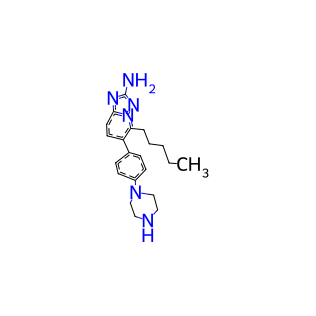 CCCCCc1c(-c2ccc(N3CCNCC3)cc2)ccc2nc(N)nn12